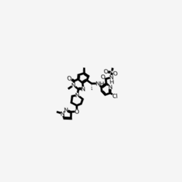 Cc1cc([C@@H](C)Nc2ccc(Cl)nc2C(=O)NS(C)(=O)=O)c2nc(N3CCC(Oc4ccn(C)n4)CC3)n(C)c(=O)c2c1